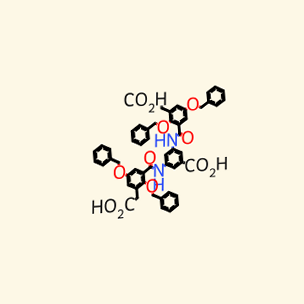 O=C(O)Cc1cc(OCc2ccccc2)cc(C(=O)Nc2cc(NC(=O)c3cc(OCc4ccccc4)cc(CC(=O)O)c3OCc3ccccc3)cc(C(=O)O)c2)c1OCc1ccccc1